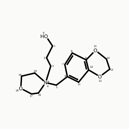 OCCC[N+]1(Cc2ccc3c(c2)OCCO3)CCOCC1